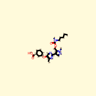 CCCCCN(C)C(=O)OCc1c(-c2ncc(O[C@H]3CCC[C@H](C(=O)O)C3)c(C)n2)cnn1C